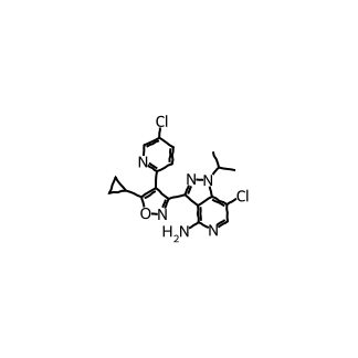 CC(C)n1nc(-c2noc(C3CC3)c2-c2ccc(Cl)cn2)c2c(N)ncc(Cl)c21